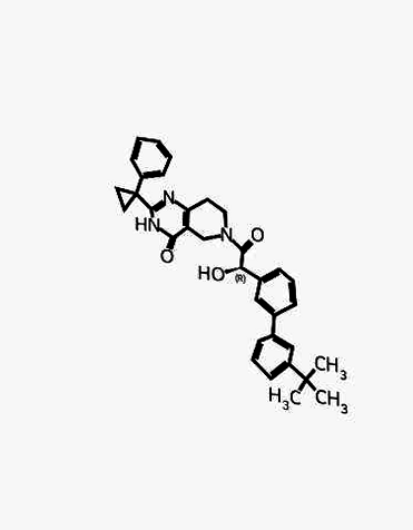 CC(C)(C)c1cccc(-c2cccc([C@@H](O)C(=O)N3CCc4nc(C5(c6ccccc6)CC5)[nH]c(=O)c4C3)c2)c1